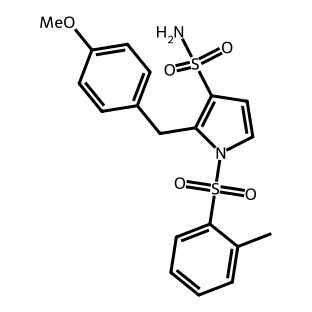 COc1ccc(Cc2c(S(N)(=O)=O)ccn2S(=O)(=O)c2ccccc2C)cc1